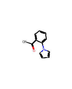 O=NC(=O)c1ccccc1-n1cccc1